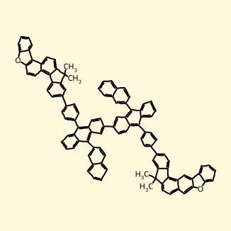 CC1(C)c2cc(-c3ccc(-c4c5ccccc5c(-c5ccc6ccccc6c5)c5cc(-c6ccc7c(-c8ccc(-c9ccc%10c(c9)C(C)(C)c9ccc%11c(ccc%12oc%13ccccc%13c%12%11)c9-%10)cc8)c8ccccc8c(-c8ccc9ccccc9c8)c7c6)ccc45)cc3)ccc2-c2c1ccc1cc3oc4ccccc4c3cc21